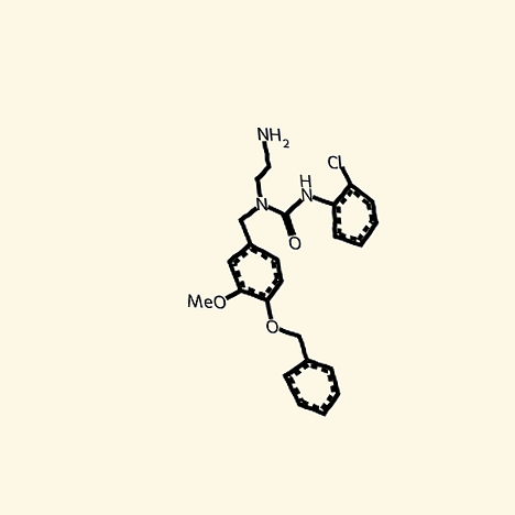 COc1cc(CN(CCN)C(=O)Nc2ccccc2Cl)ccc1OCc1ccccc1